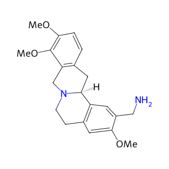 COc1cc2c(cc1CN)[C@@H]1Cc3ccc(OC)c(OC)c3CN1CC2